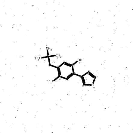 CC(C)(C)Cc1cc(O)c(-c2ccoc2)cc1F